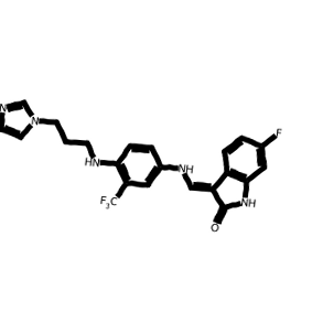 O=C1Nc2cc(F)ccc2C1=CNc1ccc(NCCCn2ccnc2)c(C(F)(F)F)c1